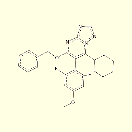 COc1cc(F)c(-c2c(OCc3ccccc3)nc3ncnn3c2C2CCCCC2)c(F)c1